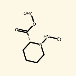 CCNN1CCCC[C@@H]1C(=O)OC=O